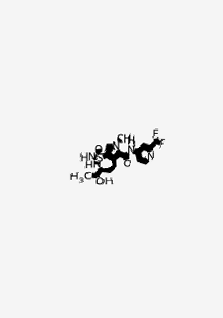 CC(O)C1CCc2c(cn(C)c2C(=O)Nc2ccnc(C(F)F)c2)S(=N)(=O)N1